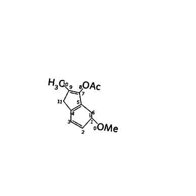 COc1ccc2c(c1)C(OC(C)=O)=C(C)C2